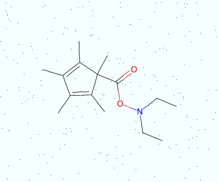 CCN(CC)OC(=O)C1(C)C(C)=C(C)C(C)=C1C